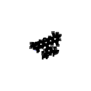 C=c1cc2c(cc1/C(C)=C\C(C)(C)C)=C(c1cc(C(F)(F)F)cc(C(F)(F)F)c1)c1cc3c(cc1O2)N(C)C(C)(C)C=C3C